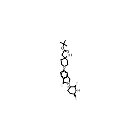 CC(C)(C)OC(=O)CC1(O)CCN(c2ccc3c(c2)CN([C@H]2CCC(=O)NC2=O)C3=O)CC1